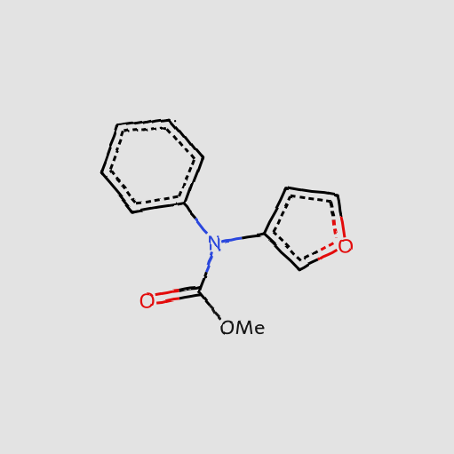 COC(=O)N(c1c[c]ccc1)c1ccoc1